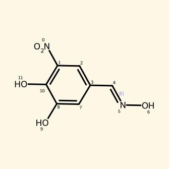 O=[N+]([O-])c1cc(/C=N/O)cc(O)c1O